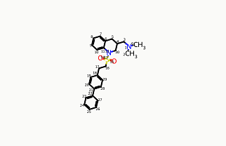 CN(C)CC1Cc2ccccc2N(S(=O)(=O)CCc2ccc(-c3ccccc3)cc2)C1